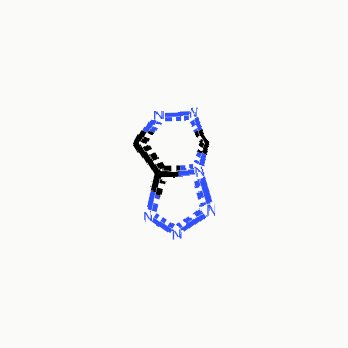 c1nncn2nnnc12